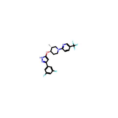 C[C@@H]1CN(c2ccc(C(F)(F)F)cn2)CC[C@H]1Oc1cc(-c2cc(F)cc(F)c2)n[nH]1